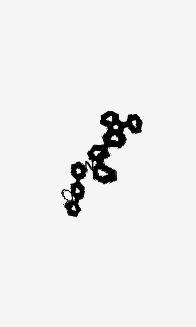 c1ccc(C2c3ccccc3-c3cc(-c4ccc5c(c4)c4ccccc4n5-c4cccc(-c5ccc6c(c5)oc5ccccc56)c4)ccc32)cc1